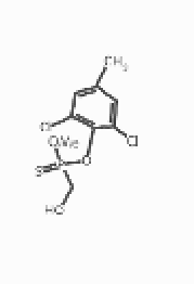 COP(=S)(CO)Oc1c(Cl)cc(C)cc1Cl